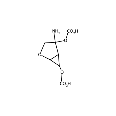 NC1(OC(=O)O)COC2C(OC(=O)O)C21